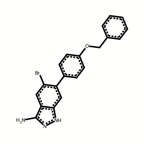 Nc1n[nH]c2cc(-c3ccc(OCc4ccccc4)cc3)c(Br)cc12